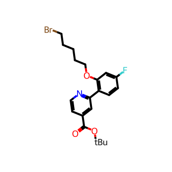 CC(C)(C)OC(=O)c1ccnc(-c2ccc(F)cc2OCCCCCBr)c1